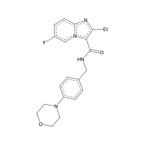 CCc1nc2ccc(F)cn2c1C(=O)NCc1ccc(N2CCOCC2)cc1